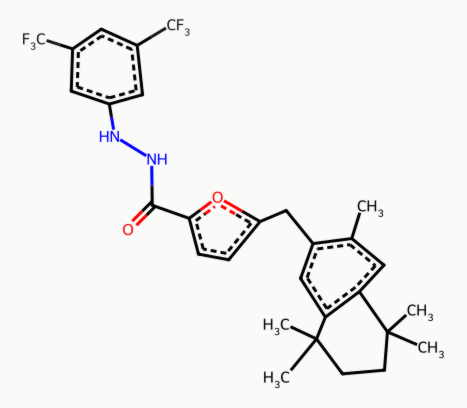 Cc1cc2c(cc1Cc1ccc(C(=O)NNc3cc(C(F)(F)F)cc(C(F)(F)F)c3)o1)C(C)(C)CCC2(C)C